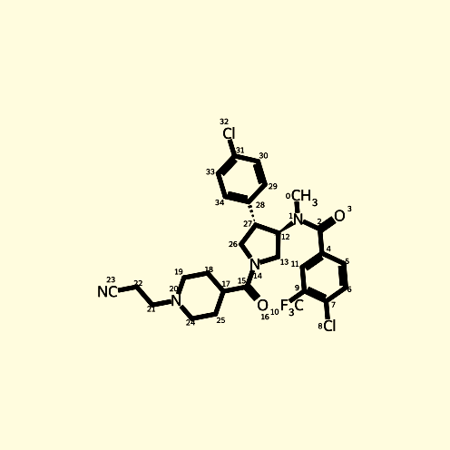 CN(C(=O)c1ccc(Cl)c(C(F)(F)F)c1)[C@H]1CN(C(=O)C2CCN(CCC#N)CC2)C[C@@H]1c1ccc(Cl)cc1